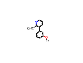 CCOc1cccc(-c2cccnc2C=O)c1